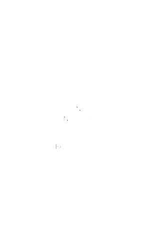 C#CCn1nc(C(C)(C)C)cc1C